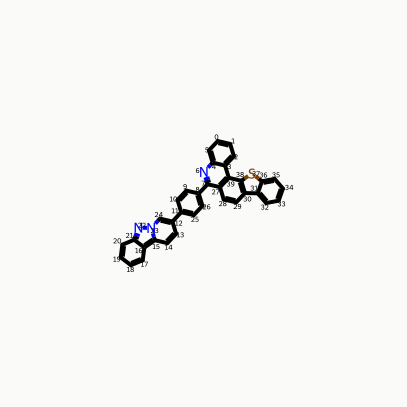 c1ccc2c(c1)nc(-c1ccc(-c3ccc4c5ccccc5nn4c3)cc1)c1ccc3c4ccccc4sc3c12